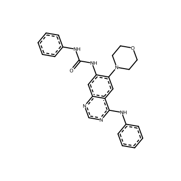 O=C(Nc1ccccc1)Nc1cc2ncnc(Nc3ccccc3)c2cc1N1CCOCC1